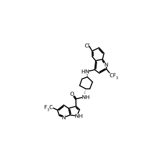 O=C(N[C@H]1CC[C@@H](Nc2cc(C(F)(F)F)nc3ccc(Cl)cc23)CC1)c1c[nH]c2ncc(C(F)(F)F)cc12